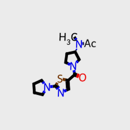 CC(=O)N(C)[C@H]1CCN(C(=O)c2cnc(N3CCCC3)s2)C1